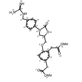 COC(=O)Cc1ccc(OCC2CN(c3ccc(CNC(=N)N)cc3)C(=O)O2)c(CC(=O)OC)c1